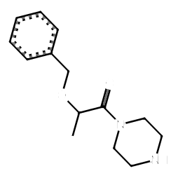 CC(OCc1ccccc1)C(=O)N1CCNCC1